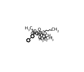 C=CCCCCC[C@H](NC(=O)OC(C)(C)C)C(=O)N1C[C@@](c2ccc(-c3ccccc3)cc2)(S(=O)(=O)CCC)C[C@H]1C(=O)OC